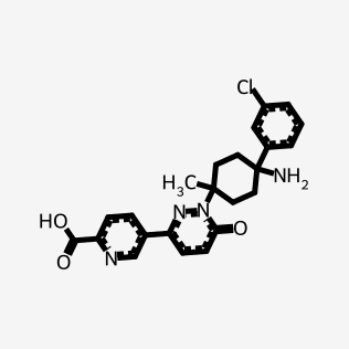 CC1(n2nc(-c3ccc(C(=O)O)nc3)ccc2=O)CCC(N)(c2cccc(Cl)c2)CC1